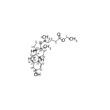 CCOC(=O)CCC[C@@H](C)[C@H]1CC[C@H]2C3=CC=C4C[C@@H](O)C=C[C@]4(C)[C@H]3CC[C@]12C